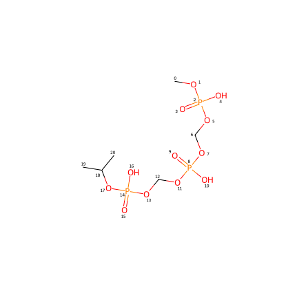 COP(=O)(O)OCOP(=O)(O)OCOP(=O)(O)OC(C)C